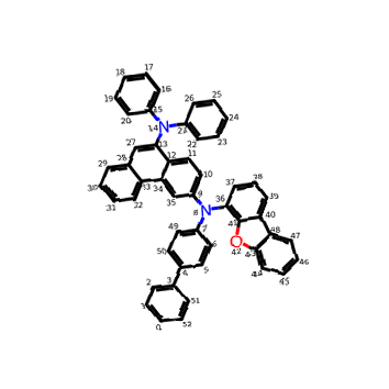 c1ccc(-c2ccc(N(c3ccc4c(N(c5ccccc5)c5ccccc5)cc5ccccc5c4c3)c3cccc4c3oc3ccccc34)cc2)cc1